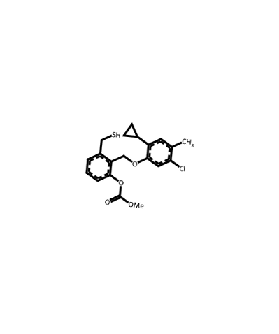 COC(=O)Oc1cccc(CS)c1COc1cc(Cl)c(C)cc1C1CC1